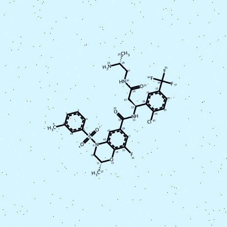 Cc1cccc(S(=O)(=O)N2C[C@@H](C)Oc3c(F)cc(C(=O)N[C@@H](CC(=O)NC[C@@H](C)N)c4cc(C(F)(F)F)ccc4Cl)cc32)c1